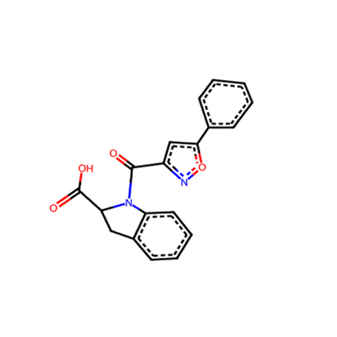 O=C(O)C1Cc2ccccc2N1C(=O)c1cc(-c2ccccc2)on1